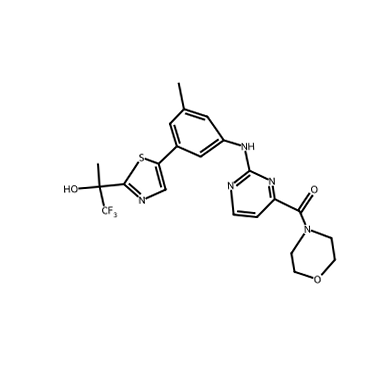 Cc1cc(Nc2nccc(C(=O)N3CCOCC3)n2)cc(-c2cnc(C(C)(O)C(F)(F)F)s2)c1